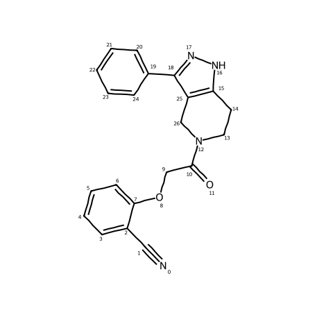 N#Cc1ccccc1OCC(=O)N1CCc2[nH]nc(-c3ccccc3)c2C1